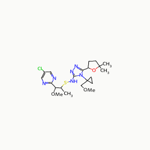 COCC1(n2c(NSC(C)C(OC)c3ncc(Cl)cn3)nnc2C2CCC(C)(C)O2)CC1